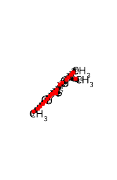 CCCCCCCCCCCOC(=O)CCCCCC(CCCCCCCC(=O)OCCC(CCCCCC)CCCCCC)N=C=S